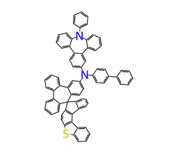 c1ccc(-c2ccc(N(c3ccc4c(c3)-c3ccccc3N(c3ccccc3)c3ccccc3-4)c3ccc4c(c3)-c3ccccc3-c3ccccc3C43c4ccccc4-c4c3ccc3sc5ccccc5c43)cc2)cc1